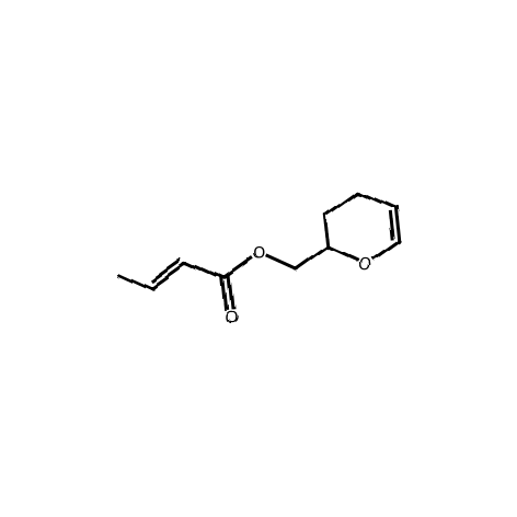 C/C=C/C(=O)OCC1CCC=CO1